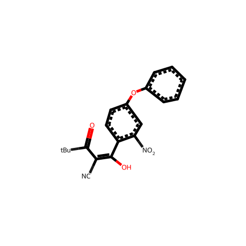 CC(C)(C)C(=O)C(C#N)=C(O)c1ccc(Oc2ccccc2)cc1[N+](=O)[O-]